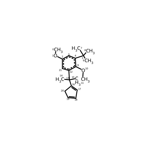 COc1cc(C(C)(C)C)c(OC)c(C(C)(C)C2=CC=CC2)c1